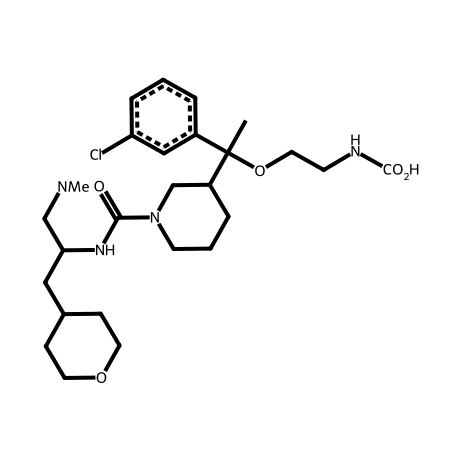 CNCC(CC1CCOCC1)NC(=O)N1CCCC(C(C)(OCCNC(=O)O)c2cccc(Cl)c2)C1